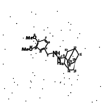 COc1ccc(CNNC23CC4CC(CC(C4)C2)C3)cc1OC